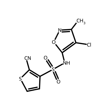 Cc1noc(NS(=O)(=O)c2ccsc2C#N)c1Cl